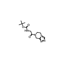 CC(C)(C)OC(=O)NCC(=O)N1CCn2cnnc2C1